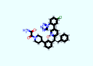 NC(=O)C(=O)N1CCC(c2cccc([C@H](Cc3ccccc3)c3ccc(-c4cc(Cl)ccc4-n4cnnn4)c[n+]3[O-])c2)CC1